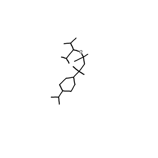 CC(C)C1CCC(C(C)(C)CC(C)(C)OC(C(C)C)C(C)C)CC1